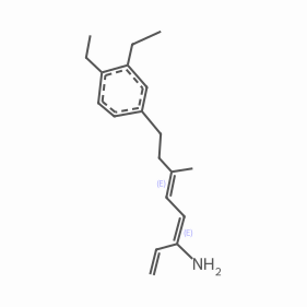 C=C/C(N)=C\C=C(/C)CCc1ccc(CC)c(CC)c1